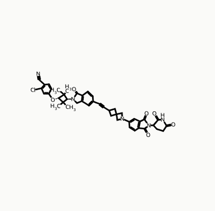 CC1(C)[C@H](Oc2ccc(C#N)c(Cl)c2)C(C)(C)[C@H]1N1Cc2cc(C#CC3CC4(C3)CN(c3ccc5c(c3)C(=O)N(C3CCC(=O)NC3=O)C5=O)C4)ccc2C1=O